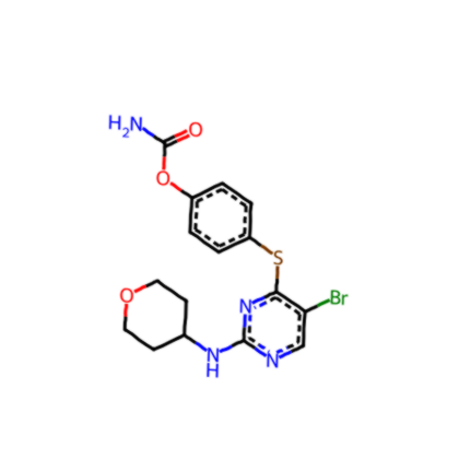 NC(=O)Oc1ccc(Sc2nc(NC3CCOCC3)ncc2Br)cc1